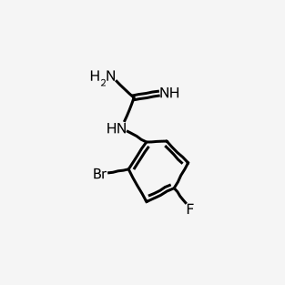 N=C(N)Nc1ccc(F)cc1Br